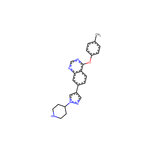 Cc1ccc(Oc2ncnc3cc(-c4cnn(C5CCNCC5)c4)ccc23)cc1